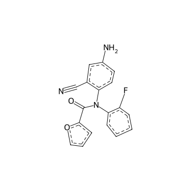 N#Cc1cc(N)ccc1N(C(=O)c1ccco1)c1ccccc1F